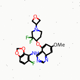 COc1cc(OC2CCN(C3COC3)CC2(F)F)c2c(Nc3c(F)ccc4c3OCO4)ncnc2c1